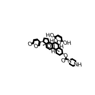 C[C@]12CC[C@H](OC(=O)N3CCNCC3)C[C@@H]1CC[C@@H]1[C@@H]2CC[C@]2(C)[C@@H](c3ccc(=O)oc3)CC[C@]12O.O=C(O)/C=C\C(=O)O